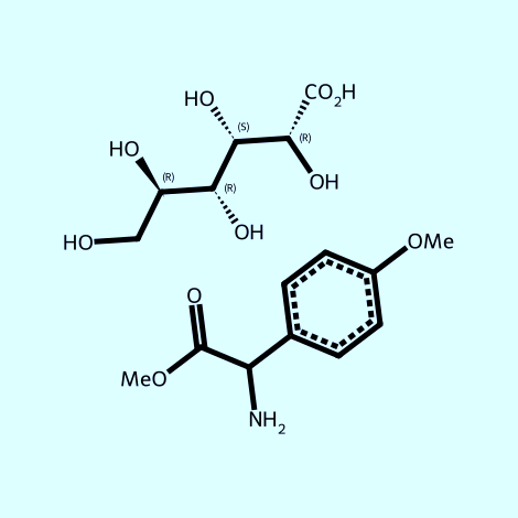 COC(=O)C(N)c1ccc(OC)cc1.O=C(O)[C@H](O)[C@@H](O)[C@H](O)[C@H](O)CO